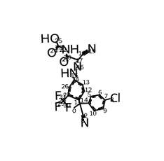 CC(C#N)(c1ccc(Cl)cc1)c1ccc(NN=C(C#N)C(=O)NC(=O)O)cc1C(F)(F)F